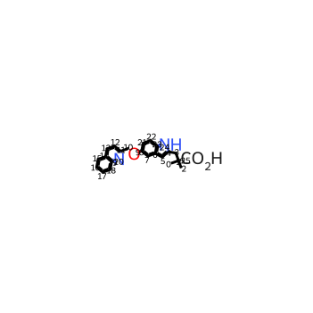 CC(C)(Cc1cc2cc(OCc3ccc4ccccc4n3)ccc2[nH]1)C(=O)O